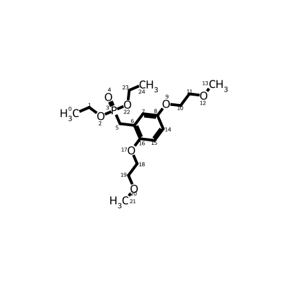 CCOP(=O)(Cc1cc(OCCOC)ccc1OCCOC)OCC